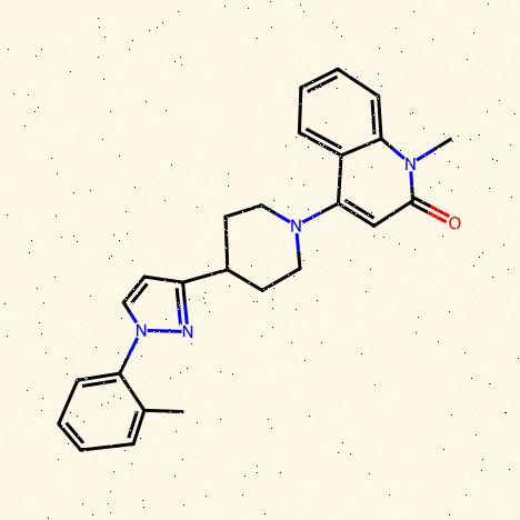 Cc1ccccc1-n1ccc(C2CCN(c3cc(=O)n(C)c4ccccc34)CC2)n1